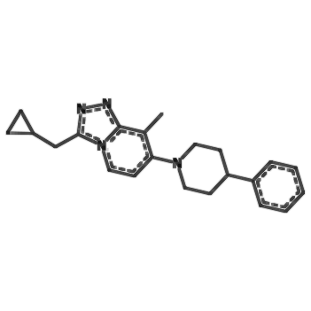 Cc1c(N2CCC(c3ccccc3)CC2)ccn2c(CC3CC3)nnc12